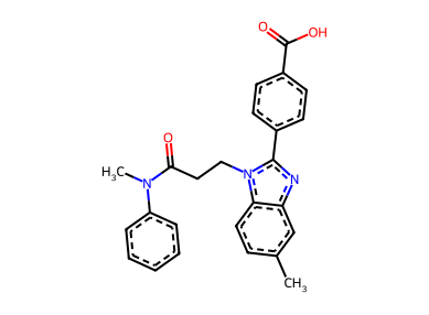 Cc1ccc2c(c1)nc(-c1ccc(C(=O)O)cc1)n2CCC(=O)N(C)c1ccccc1